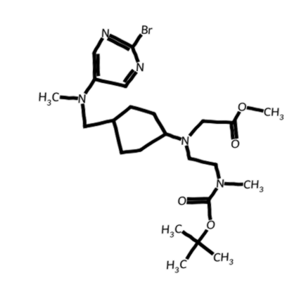 COC(=O)CN(CCN(C)C(=O)OC(C)(C)C)C1CCC(CN(C)c2cnc(Br)nc2)CC1